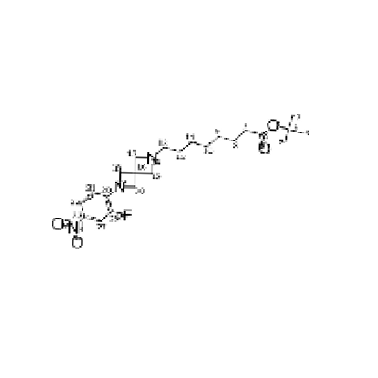 CC(C)(C)OC(=O)CCCCCCCN1CC2(C1)CN(c1ccc([N+](=O)[O-])cc1F)C2